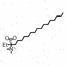 CC=CCCCCCCCCCCCCCC(CC)(P(=O)=O)[N+](C)(C)C